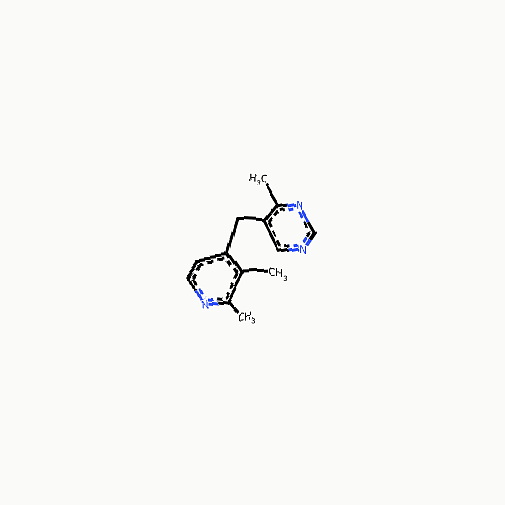 Cc1ncncc1Cc1ccnc(C)c1C